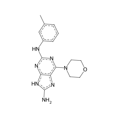 Cc1cccc(Nc2nc(N3CCOCC3)c3nc(N)[nH]c3n2)c1